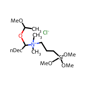 CCCCCCCCCCC(OC(C)OC)[N+](C)(C)CCC[Si](OC)(OC)OC.[Cl-]